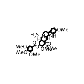 COC(=O)[C@H]1[C@H]2C[C@@H]3c4[nH]c5cc(OC)ccc5c4CCN3C[C@H]2C[C@@H](OC(=O)c2cc(OC)c(OC)c(OC)c2)[C@@H]1OC.S